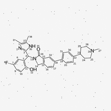 Cc1nc(C(c2cc(F)ccc2O)N2Cc3ccc(-c4ccc(C5CCN(C)CC5)cc4)cc3C2=O)[nH]c1C